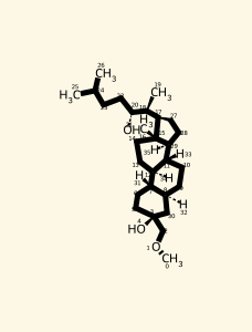 COC[C@]1(O)CC[C@H]2[C@@H](CC[C@@H]3[C@@H]2CC[C@]2(C)[C@@H]([C@H](C)[C@H](O)CCC(C)C)CC[C@@H]32)C1